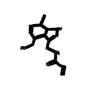 C=CC(=O)NCC1=NNC2C1=C(CO)C=CC2C